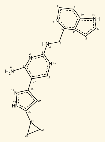 Nc1nc(NCc2nccc3[nH]ccc23)ncc1-c1cc(C2CC2)[nH]n1